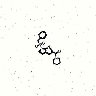 O=C(c1cnc2c(ccn2S(=O)(=O)Cc2ccccc2)c1)N1CCCCC1